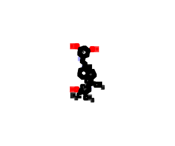 C[C@H](/C=C/[C@H](C)C(C)(C)O)C1CC[C@H]2/C(=C/C=C3\CC(O)C[C@H](O)C3)CCCC12C